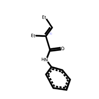 CC/C=C(\CC)C(=O)Nc1ccccc1